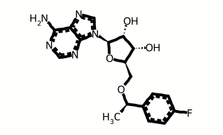 C[C@@H](OC[C@H]1O[C@@H](n2cnc3c(N)ncnc32)[C@H](O)[C@@H]1O)c1ccc(F)cc1